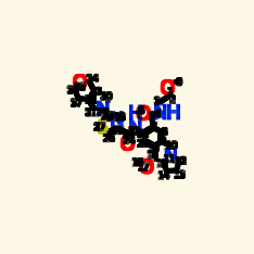 COCCNC(=O)c1cc(CN2CCC[C@@H]2COC)ccc1NC(=O)c1csc(N(C)CC2CCOCC2)n1